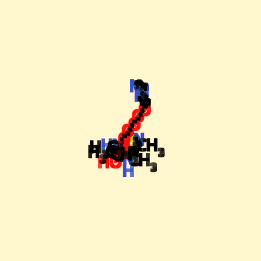 Cc1ncsc1-c1ccc([C@H](C)NC(=O)[C@@H]2C[C@@H](O)CN2C(=O)[C@@H](NC(=O)COCCOCCOCCOCCOc2ccc3cc(-n4ccc5ccncc54)ncc3c2)C(C)(C)C)cc1